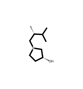 CC(C)[C@@H](C)CN1CC[C@@H](O)C1